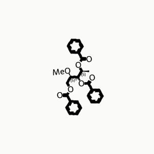 CO[C@@H](COC(=O)c1ccccc1)[C@H](OC(=O)c1ccccc1)[C@H](C)OC(=O)c1ccccc1